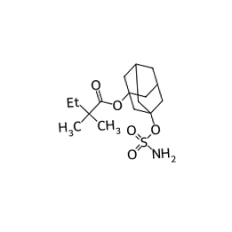 CCC(C)(C)C(=O)OC12CC3CC(C1)CC(OS(N)(=O)=O)(C3)C2